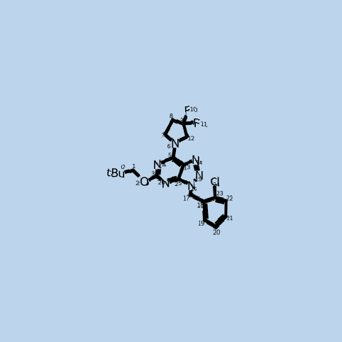 CC(C)(C)COc1nc(N2CCC(F)(F)C2)c2nnn(Cc3ccccc3Cl)c2n1